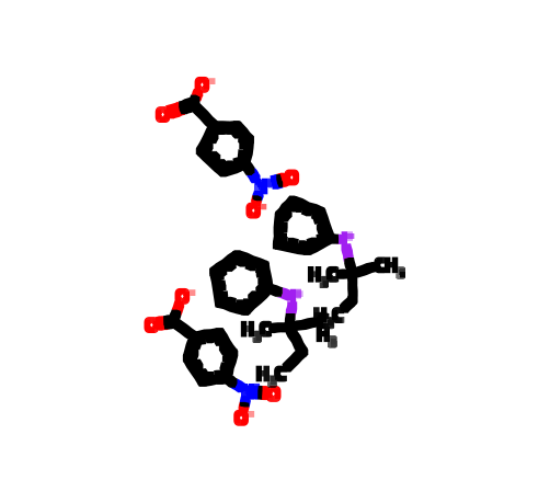 CCC(C)(C)[I+]c1ccccc1.CCC(C)(C)[I+]c1ccccc1.O=C([O-])c1ccc([N+](=O)[O-])cc1.O=C([O-])c1ccc([N+](=O)[O-])cc1